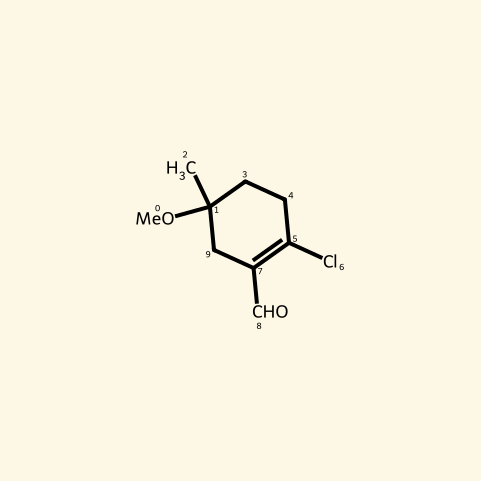 COC1(C)CCC(Cl)=C(C=O)C1